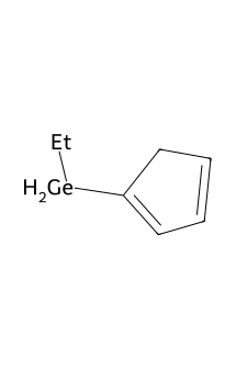 C[CH2][GeH2][C]1=CC=CC1